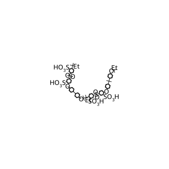 CCC(C)(C)Oc1ccc(C(C)(C)c2ccc(Oc3ccc(S(=O)(=O)c4ccc(C(C)(CC)C(C)(C)Oc5ccc(-c6ccc(Oc7ccc(S(=O)(=O)c8ccc(C(C)(C)CC)c(S(=O)(=O)O)c8)cc7S(=O)(=O)O)cc6)cc5)c(S(=O)(=O)O)c4)cc3S(=O)(=O)O)cc2)cc1